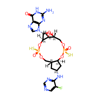 Nc1nc2c(ncn2[C@@H]2O[C@@H]3COP(=O)(S)O[C@H]4C[C@H](Nc5ncncc5F)C[C@@H]4COP(=O)(S)O[C@@H]2[C@@H]3O)c(=O)[nH]1